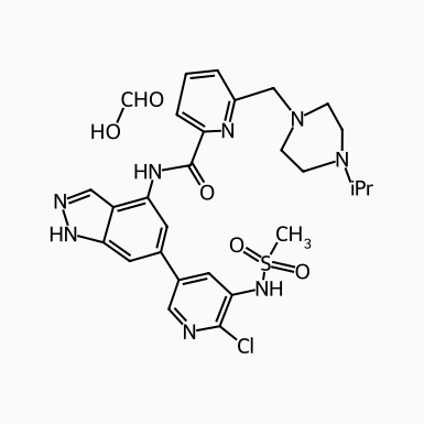 CC(C)N1CCN(Cc2cccc(C(=O)Nc3cc(-c4cnc(Cl)c(NS(C)(=O)=O)c4)cc4[nH]ncc34)n2)CC1.O=CO